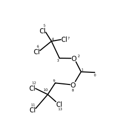 CC(OCC(Cl)(Cl)Cl)OCC(Cl)(Cl)Cl